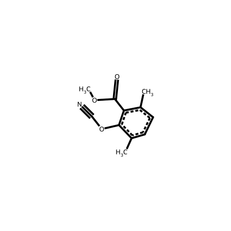 COC(=O)c1c(C)ccc(C)c1OC#N